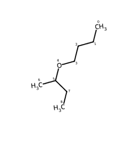 CCCCO[C](C)CC